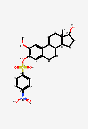 COc1cc2c(cc1OS(=O)(=O)c1ccc([N+](=O)[O-])cc1)CCC1C2CCC2(C)C(O)CCC12